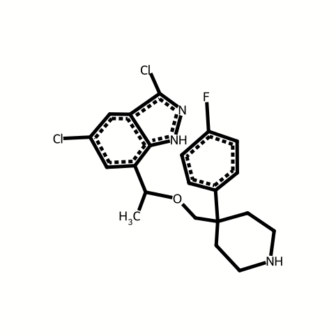 CC(OCC1(c2ccc(F)cc2)CCNCC1)c1cc(Cl)cc2c(Cl)n[nH]c12